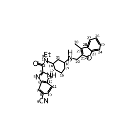 CCN(C(=O)c1nc2cc(C#N)ccc2[nH]1)C1CCCC(NCc2oc3ccccc3c2C)C1